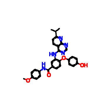 COc1ccc(NC(=O)c2ccc(Oc3ccc(O)cc3)c(Nc3ncnc4nc(C(C)C)ccc34)c2)cc1